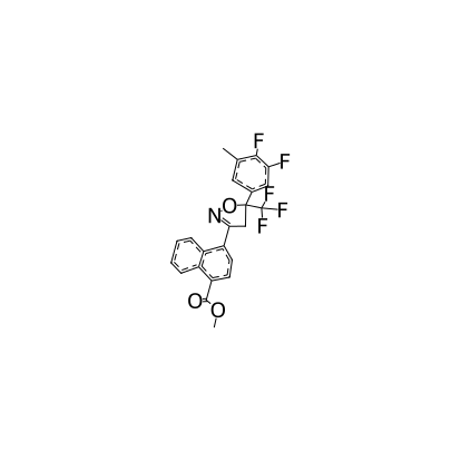 COC(=O)c1ccc(C2=NOC(c3cc(C)c(F)c(F)c3)(C(F)(F)F)C2)c2ccccc12